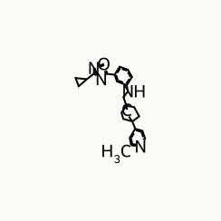 Cc1cc(C23CCC(CNc4cccc(-c5nc(C6CC6)no5)c4)(CC2)CC3)ccn1